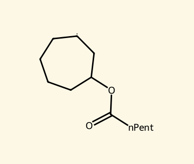 CCCCCC(=O)OC1C[CH]CCCC1